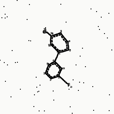 Fc1cccc(-c2[c]ccc(Cl)c2)c1